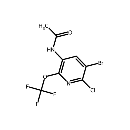 CC(=O)Nc1cc(Br)c(Cl)nc1OC(F)(F)F